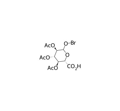 CC(=O)O[C@H]1[C@H](OC(C)=O)[C@@H](OC(C)=O)C(OBr)O[C@@H]1C(=O)O